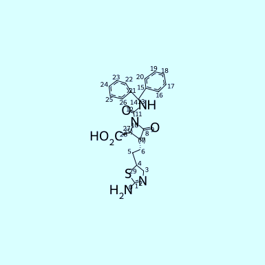 NC1=NCC(CC[C@H]2C(=O)N(C(=O)NC(c3ccccc3)c3ccccc3)[C@@H]2C(=O)O)S1